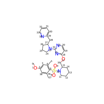 COc1cc(C)c(S(=O)(=O)N2CCCCC2COc2ccnc(N3CCCC3Cc3ccccn3)n2)c(C)c1